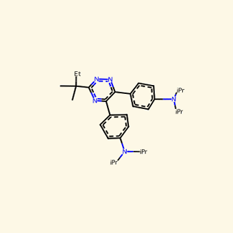 CCC(C)(C)c1nnc(-c2ccc(N(C(C)C)C(C)C)cc2)c(-c2ccc(N(C(C)C)C(C)C)cc2)n1